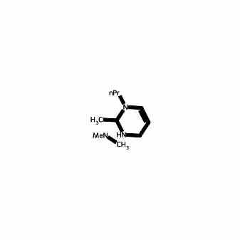 CCCN1C=CCNC1C.CNC